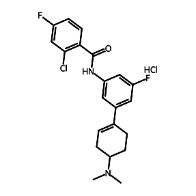 CN(C)C1CC=C(c2cc(F)cc(NC(=O)c3ccc(F)cc3Cl)c2)CC1.Cl